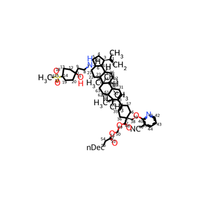 C=C(C)[C@@H]1CC[C@]2(NCCC3(O)CCC(S(C)(=O)=O)CC3)CC[C@]3(C)[C@H](CC[C@@H]4[C@@]5(C)CC=C(C6=CC[C@@](COc7ncccc7C#N)(C(=O)OCOC(=O)CCCCCCCCCCC)CC6)C(C)(C)[C@@H]5CC[C@]43C)[C@@H]12